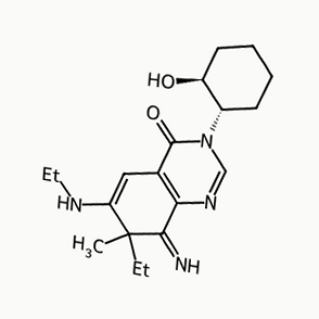 CCNC1=Cc2c(ncn([C@H]3CCCC[C@@H]3O)c2=O)C(=N)C1(C)CC